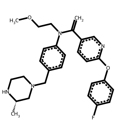 C=C(c1ccc(Oc2ccc(F)cc2)nc1)N(CCOC)c1ccc(CN2CCN[C@@H](C)C2)cc1